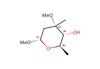 CO[C@@H]1C[C@](C)(OC)[C@H](O)[C@@H](C)O1